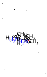 Cc1cccc(C(N)(BCCCCCCBC(N)(c2cccc(C)c2)c2cccc(C)c2)c2cccc(C)c2)c1